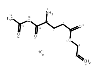 C=CCOC(=O)CCC(N)C(=O)OC(=O)C(F)(F)F.Cl